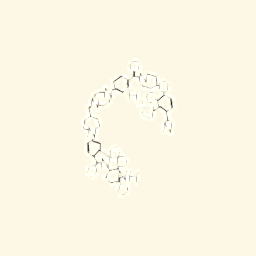 Cc1c(OC2CCN(C(=O)c3ccc(N4CCN(CC5CCN(c6ccc7c(c6)C(=O)N(C6CCC(=O)NC6=O)C7=O)CC5)CC4)cc3)CC2)ccc(C#N)c1Cl